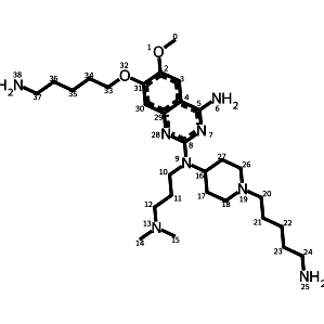 COc1cc2c(N)nc(N(CCCN(C)C)C3CCN(CCCCCN)CC3)nc2cc1OCCCCCN